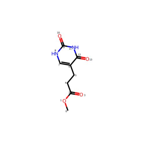 COC(=O)CCc1c[nH]c(=O)[nH]c1=O